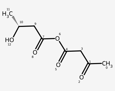 CC(=O)CC(=O)OC(=O)C[C@@H](C)O